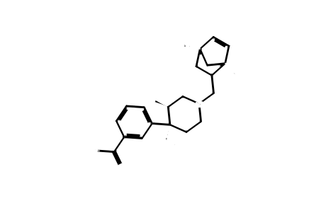 C[C@H]1CN(CC2C[C@H]3C=C[C@@H]2C3)CC[C@@]1(C)c1cccc(C(N)=O)c1